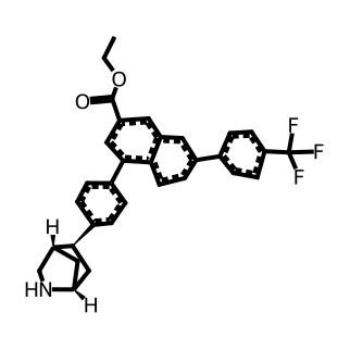 CCOC(=O)c1cc(-c2ccc([C@H]3C[C@H]4C[C@@H]3CN4)cc2)c2ccc(-c3ccc(C(F)(F)F)cc3)cc2c1